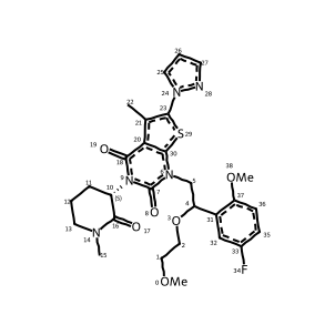 COCCOC(Cn1c(=O)n([C@H]2CCCN(C)C2=O)c(=O)c2c(C)c(-n3cccn3)sc21)c1cc(F)ccc1OC